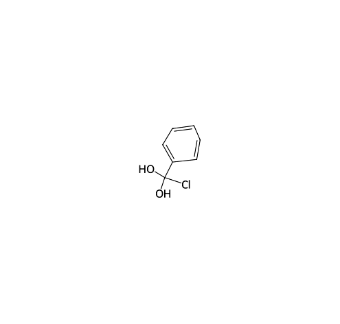 OC(O)(Cl)c1ccccc1